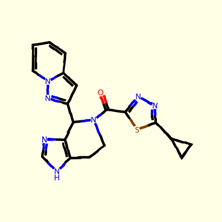 O=C(c1nnc(C2CC2)s1)N1CCc2[nH]cnc2C1c1cc2ccccn2n1